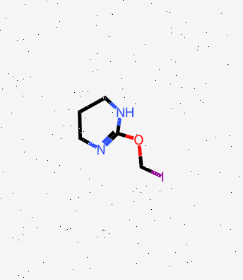 ICOC1=NCCCN1